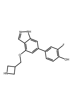 Oc1ccc(-c2cc(OCC3CNC3)c3cn[nH]c3c2)cc1F